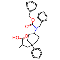 CC(CC1(c2ccccc2)CCC(N(Cc2ccccc2)C(=O)OCc2ccccc2)CC1)C(=O)O